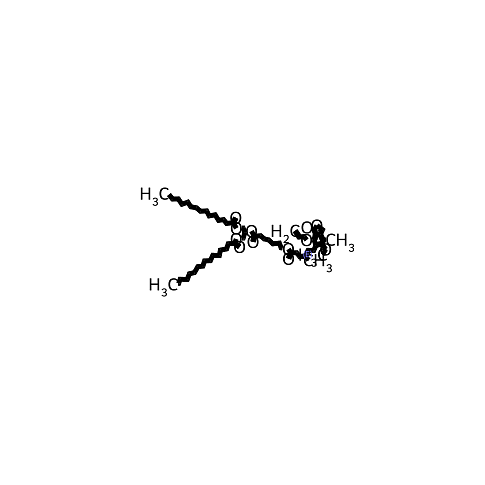 C=CCOc1c(C/C=C(\C)CCC(=O)OCCCCCCC(=O)OC(COC(=O)CCCCCCCCCCCCCCC)COC(=O)CCCCCCCCCCCCCCC)c(OC)c(C)c2c1C(=O)OC2